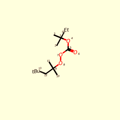 CCC(C)(C)OC(=O)OOC(C)(C)CC(C)(C)C